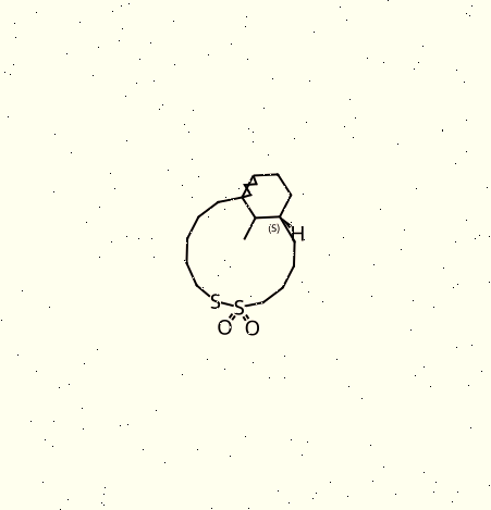 CC1[C@H]2CCCCS(=O)(=O)SCCCCCC13CCCC3CC2